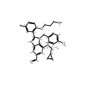 Cc1ccc(OCCCO)c(-c2nc3nc(C=O)nc(N[C@H](C)C4CC4)c3n2Cc2ccc(Cl)cc2)c1